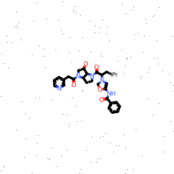 CC(C)CC(C(=O)N1CCC2C1C(=O)CN2C(=O)Cc1cccnc1)N1C=C(NC(=O)c2ccccc2)OC1